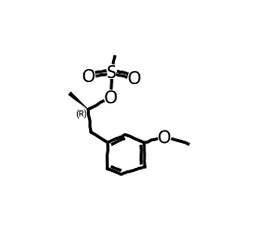 COc1cccc(C[C@@H](C)OS(C)(=O)=O)c1